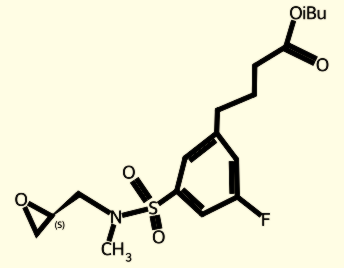 CC(C)COC(=O)CCCc1cc(F)cc(S(=O)(=O)N(C)C[C@H]2CO2)c1